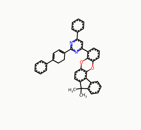 CC1(C)c2ccccc2-c2c1ccc1c2Oc2cccc(-c3cc(-c4ccccc4)nc(C4=CC=C(c5ccccc5)CC4)n3)c2O1